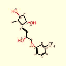 C[C@@H]1[C@@H](/C=C/[C@H](O)COc2cccc(C(F)(F)F)c2)[C@H](O)C[C@@H]1O